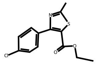 CCOC(=O)c1sc(C)nc1-c1ccc(Cl)cc1